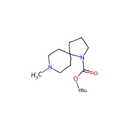 CN1CCC2(CCCN2C(=O)OC(C)(C)C)CC1